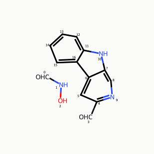 O=CNO.O=Cc1cc2c(cn1)[nH]c1ccccc12